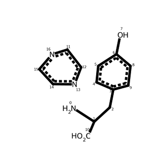 NC(Cc1ccc(O)cc1)C(=O)O.c1cnccn1